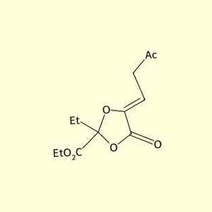 CCOC(=O)C1(CC)OC(=O)/C(=C/CC(C)=O)O1